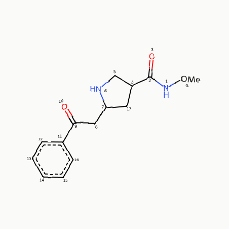 CONC(=O)C1CNC(CC(=O)c2ccccc2)C1